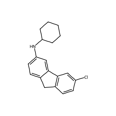 Clc1ccc2c(c1)-c1cc(NC3CCCCC3)ccc1C2